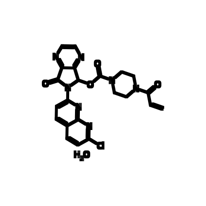 C=CC(=O)N1CCN(C(=O)OC2c3nccnc3C(=O)N2c2ccc3ccc(Cl)nc3n2)CC1.O